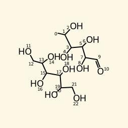 CC(O)C(O)C(O)C(O)C=O.OCC(O)C(O)C(O)C(O)CO